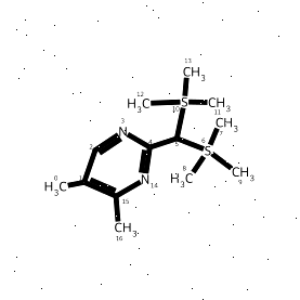 Cc1cnc(C(S(C)(C)C)S(C)(C)C)nc1C